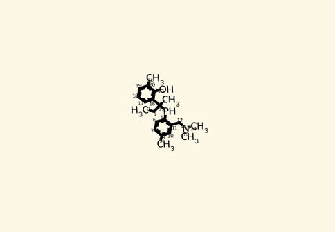 CCC(C)(Pc1ccc(C)cc1CN(C)C)c1cccc(C)c1O